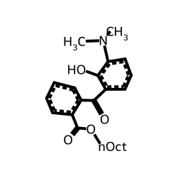 CCCCCCCCOC(=O)c1ccccc1C(=O)c1cccc(N(C)C)c1O